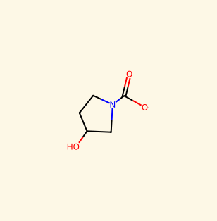 [O]C(=O)N1CCC(O)C1